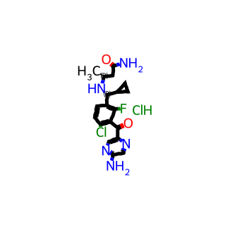 C[C@H](CC(N)=O)N[C@@H](c1ccc(Cl)c(C(=O)c2cnc(N)cn2)c1F)C1CC1.Cl